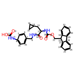 O=C(O)Nc1ccc(CNC(=O)C(CC2CC2)NC(=O)OCC2c3ccccc3-c3ccccc32)cc1